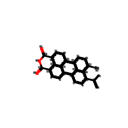 C=C(C)c1ccc2c3ccc4c5c(ccc(c6ccc(C(C)=O)c1c26)c53)C(=O)OC4=O